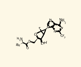 CC[C@@H](C)[C@@H](N)C(=O)OC[C@H]1OC2(F)C(C1O)[C@@H]2n1cnc2c(N)nc(C(F)(F)F)nc21